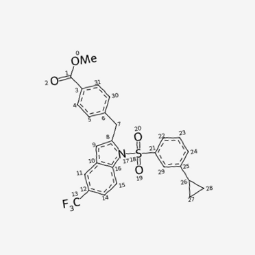 COC(=O)c1ccc(Cc2cc3cc(C(F)(F)F)ccc3n2S(=O)(=O)c2cccc(C3CC3)c2)cc1